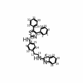 c1ccc(-c2nc(Nc3ccc(CCNc4nc5ccccc5s4)cc3)sc2-c2ccccc2)cc1